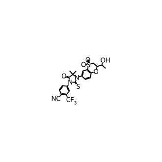 CC(O)C1CS(=O)(=O)c2cc(N3C(=S)N(c4ccc(C#N)c(C(F)(F)F)c4)C(=O)C3(C)C)ccc2O1